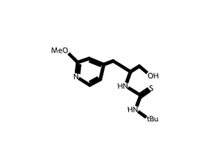 COc1cc(CC(CO)NC(=S)NC(C)(C)C)ccn1